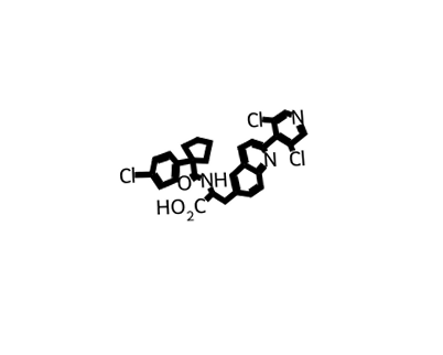 O=C(O)C(Cc1ccc2nc(-c3c(Cl)cncc3Cl)ccc2c1)NC(=O)C1(c2ccc(Cl)cc2)CCCC1